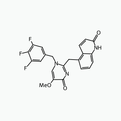 COc1cn(Cc2cc(F)c(F)c(F)c2)c(Cc2cccc3[nH]c(=O)ccc23)nc1=O